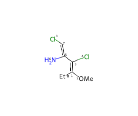 CC/C(OC)=C(Cl)\C(N)=C\Cl